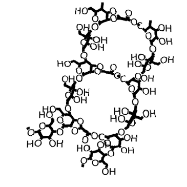 COC1OC(CO)C(OC2OC3COC(=O)C4OC5C(OC6C(CO)OC(OC)C(O)C6O)OC(CO)C(OC6OC(CO)C(OC7OC(CO)C8OC9OC(CO)C(OC%10OC(CO)C(C)C%11OC(OC%10%11)C(=O)OCC%10OC(OC%11C(CO)OC(OC%12C(COC(=O)C%13OC7C8O%13)OC(OC7C(CO)OC(OC3C(O)C2O)C(O)C7O)C(O)C%12O)C(O)C%11O)C(O)C(O)C%10C)C(O)C9O)C(O)C6O)C5O4)C(O)C1O